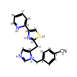 N#Cc1ccc(Cn2cncc2Cc2nc(-c3ccccn3)cs2)cc1